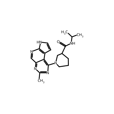 Cc1nc(N2CCCC(C(=O)NC(C)C)C2)c2c(cnc3[nH]ccc32)n1